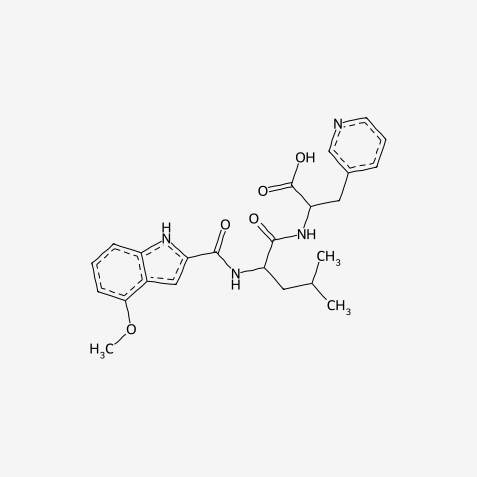 COc1cccc2[nH]c(C(=O)NC(CC(C)C)C(=O)NC(Cc3cccnc3)C(=O)O)cc12